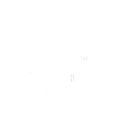 O=C1OC(=O)c2c1ccc1[nH]c(=O)[nH]c21